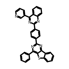 c1ccc(-c2nc(-c3ccc(-c4nc(-c5cccnc5)c5ccccc5n4)cc3)nc3c2sc2ccccc23)cc1